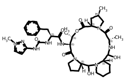 C[C@@H]1C[C@H]2C(=O)O[C@@H](C)[C@H](NC(=O)[C@H](Cc3ccccc3)NC(=O)Nc3ccn(C)n3)C(=O)N3CCC[C@H]3C(O)N3CCCC[C@H]3C(O)N[C@@H](C)C(=O)N2C1